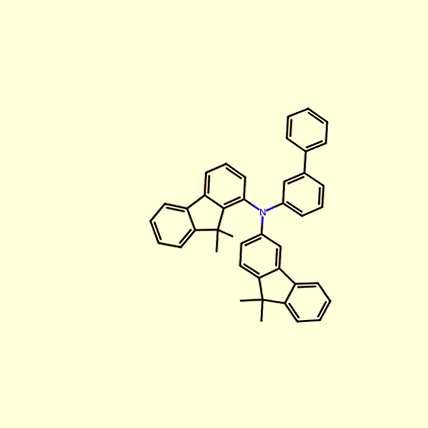 CC1(C)c2ccccc2-c2cc(N(c3cccc(-c4ccccc4)c3)c3cccc4c3C(C)(C)c3ccccc3-4)ccc21